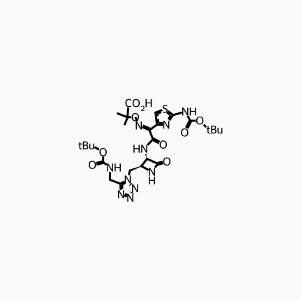 CC(C)(C)OC(=O)NCc1nnnn1C[C@@H]1NC(=O)[C@H]1NC(=O)C(=NOC(C)(C)C(=O)O)c1csc(NC(=O)OC(C)(C)C)n1